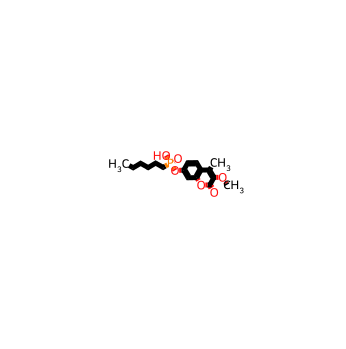 CCCCCCP(=O)(O)Oc1ccc2c(C)c(OC)c(=O)oc2c1